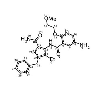 CCc1c(NC(=O)c2cc(N)cnc2OCCOC)c(C(N)=O)nn1Cc1ccccn1